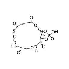 CC1(C)COC(=O)/C=C/C(=O)SCCNC(=O)CCNC(=O)[C@@H]1OP(=O)(O)O